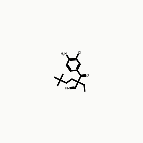 CCC(C=N)(CCC(C)(C)C)C(=O)c1ccc(N)c(Cl)c1